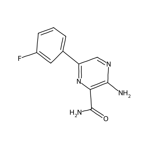 NC(=O)c1nc(-c2cccc(F)c2)cnc1N